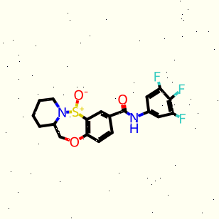 O=C(Nc1cc(F)c(F)c(F)c1)c1ccc2c(c1)[S+]([O-])N1CCCCC1CO2